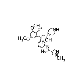 COc1cc(OC)c(F)c(N(CC(O)N2CCNCC2)c2ccc3ncc(-c4cnn(C)c4)nc3n2)c1